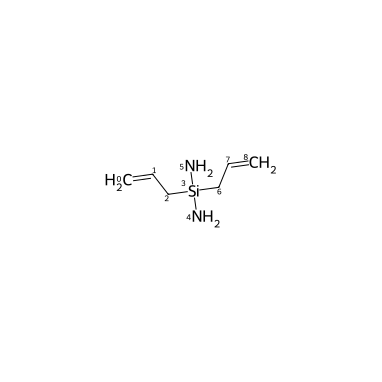 C=CC[Si](N)(N)CC=C